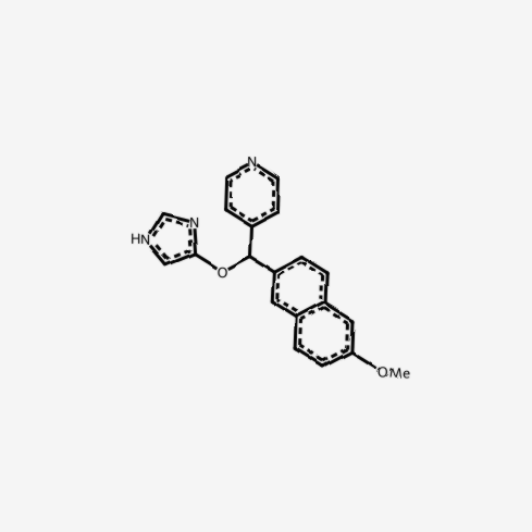 COc1ccc2cc(C(Oc3c[nH]cn3)c3ccncc3)ccc2c1